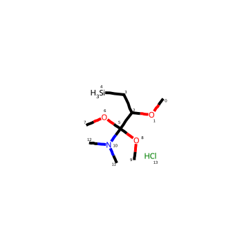 COC(C[SiH3])C(OC)(OC)N(C)C.Cl